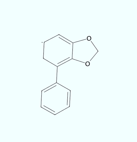 [CH]1C=C2OCOC2=C(c2ccccc2)C1